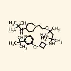 CC(C)(C)NC1CCN(CCOC(C)(C)CC(C)(C)N[C@H]2C[C@@H](Oc3ccnc(C(C)(C)C)c3)C2)CC1